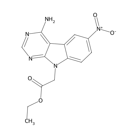 CCOC(=O)Cn1c2ccc([N+](=O)[O-])cc2c2c(N)ncnc21